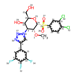 CO[C@@H]1[C@@H](n2cc(-c3cc(F)c(F)c(F)c3)nn2)[C@@H](O)[C@@H](CO)O[C@@H]1S(=O)(=O)c1ccc(Cl)c(Cl)c1